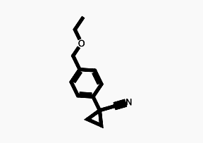 CCOCc1ccc(C2(C#N)CC2)cc1